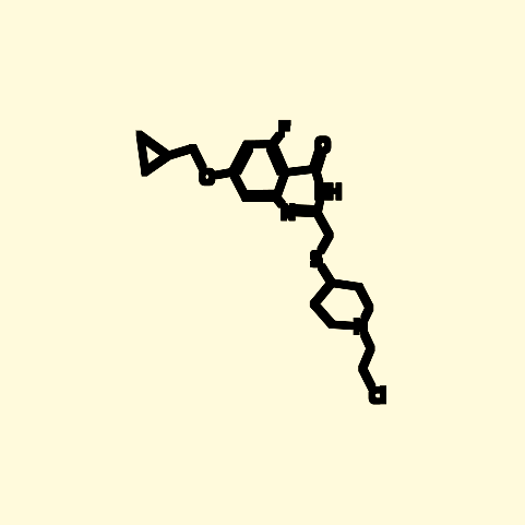 O=c1[nH]c(CSC2CCN(CCCl)CC2)nc2cc(OCC3CC3)cc(F)c12